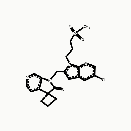 CS(=O)(=O)CCCn1c(CN2C(=O)C3(CCC3)c3ccncc32)cc2cc(Cl)cnc21